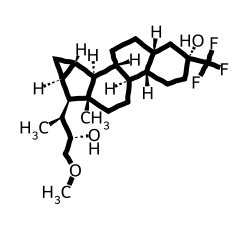 COC[C@@H](O)[C@@H](C)[C@H]1[C@H]2C[C@H]2[C@H]2[C@@H]3CC[C@@H]4C[C@@](O)(C(F)(F)F)CC[C@@H]4[C@H]3CC[C@@]21C